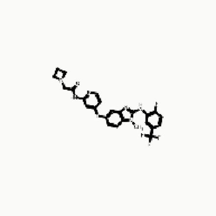 Cn1c(Nc2cc(C(F)(F)F)ccc2F)nc2cc(Oc3ccnc(NC(=O)CN4CCC4)c3)ccc21